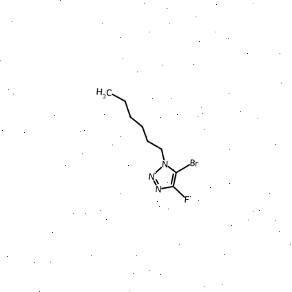 CCCCCCn1nnc(F)c1Br